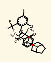 CC(C)(Oc1c(Cl)cc(F)cc1C(F)(F)F)C(=O)NC1CC2CCC(C1)N2c1ccc(S(C)(=O)=O)cc1